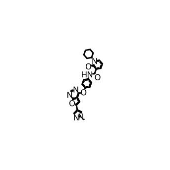 Cn1cc(-c2cc3c(Oc4ccc(NC(=O)c5cccn(C6CCCCC6)c5=O)cc4)ncnc3o2)cn1